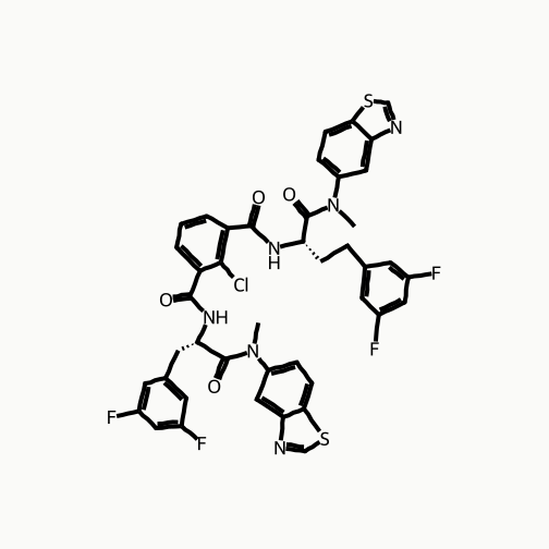 CN(C(=O)[C@H](CCc1cc(F)cc(F)c1)NC(=O)c1cccc(C(=O)N[C@@H](Cc2cc(F)cc(F)c2)C(=O)N(C)c2ccc3scnc3c2)c1Cl)c1ccc2scnc2c1